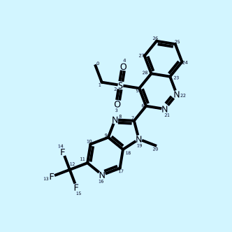 CCS(=O)(=O)c1c(-c2nc3cc(C(F)(F)F)ncc3n2C)nnc2ccccc12